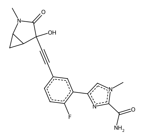 CN1C(=O)C(O)(C#Cc2ccc(F)c(-c3cn(C)c(C(N)=O)n3)c2)C2CC21